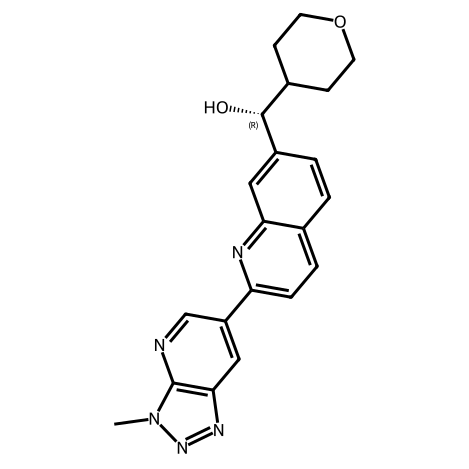 Cn1nnc2cc(-c3ccc4ccc([C@H](O)C5CCOCC5)cc4n3)cnc21